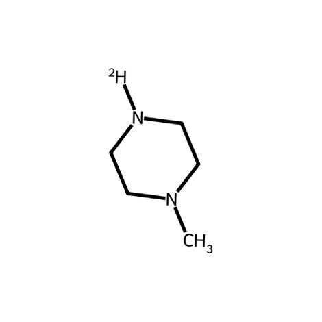 [2H]N1CCN(C)CC1